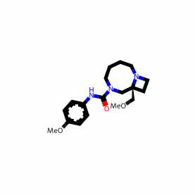 COC[C@]12CCN1CCCCN(C(=O)Nc1ccc(OC)cc1)C2